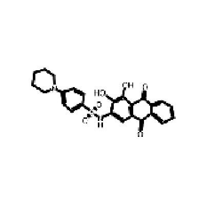 O=C1c2ccccc2C(=O)c2c1cc(NS(=O)(=O)c1ccc(N3CCCCC3)cc1)c(O)c2O